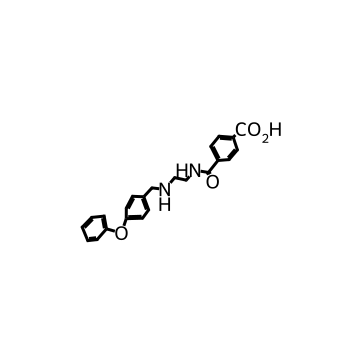 O=C(O)c1ccc(C(=O)NCCNCc2ccc(Oc3ccccc3)cc2)cc1